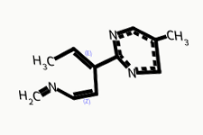 C=N/C=C\C(=C/C)c1ncc(C)cn1